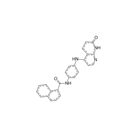 O=C(Nc1ccc(Nc2ccnc3[nH]c(=O)ccc23)cc1)c1cccc2ccccc12